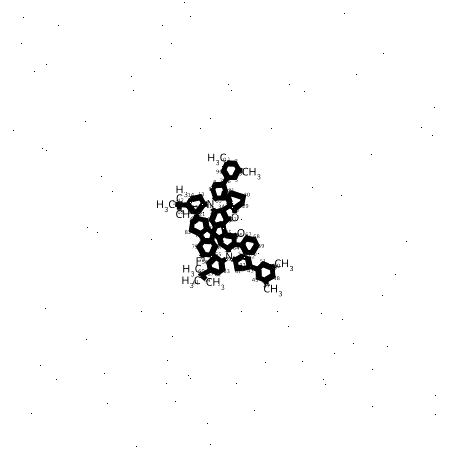 Cc1cc(C)cc(C2=CCC(N(c3ccc(C(C)(C)C)cc3)c3cc4c(c5oc6ccccc6c35)-c3c(cc(N(c5ccc(-c6cc(C)cc(C)c6)cc5)c5ccc(C(C)(C)C)cc5)c5c3oc3ccccc35)C43c4ccc(F)cc4-c4ccc(F)cc43)C=C2)c1